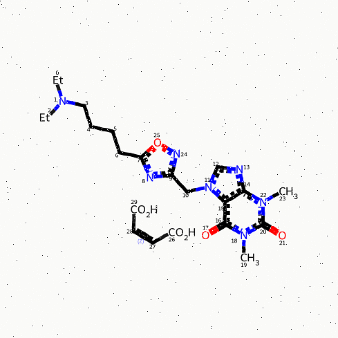 CCN(CC)CCCCc1nc(Cn2cnc3c2c(=O)n(C)c(=O)n3C)no1.O=C(O)/C=C\C(=O)O